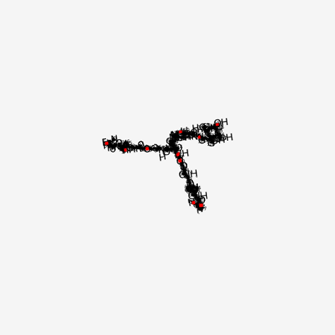 N#C[C@@H]1CC(F)(F)CN1C(=O)CNC(=O)c1ccnc2c(OCCCNC(=O)CCOCCOCCNCC(=O)N3CN(C(=O)CNCCOCCOCCC(=O)NCCCOc4cccc5c(C(=O)NCC(=O)N6CC(F)(F)C[C@H]6C#N)ccnc45)CN(C(=O)Cn4nnc5c4CC[C@H]4[C@@H](CC5)[C@H]4COC(=O)NCCNC(=O)CCC(C(=O)O)N4CCN(CC(=O)O)CCN(CC(=O)O)CCN(CC(=O)O)CC4)C3)cccc12